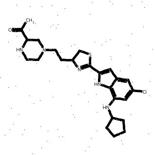 CC(=O)C1CN(CCC2CSC(c3cc4cc(Cl)cc(NC5CCCC5)c4[nH]3)=N2)CCN1